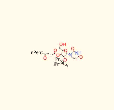 CCCCCC(=O)CCC(=O)O[C@@H]1C(O[Si](C(C)C)(C(C)C)C(C)C)[C@H](n2ccc(=O)[nH]c2=O)O[C@@H]1CO